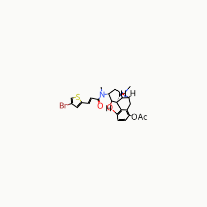 CC(=O)Oc1ccc2c3c1C[C@@H]1[C@@H]4CC[C@H](N(C)C(=O)/C=C/c5cc(Br)cs5)[C@H](O2)[C@]34CCN1C